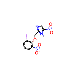 Cn1c([N+](=O)[O-])cnc1COc1c(I)cccc1[N+](=O)[O-]